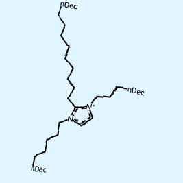 CCCCCCCCCCCCCCCCCCCc1n(CCCCCCCCCCCCCCC)cc[n+]1CCCCCCCCCCCCC